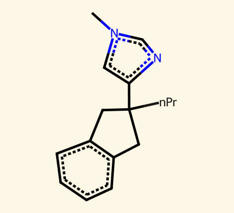 CCCC1(c2cn(C)cn2)Cc2ccccc2C1